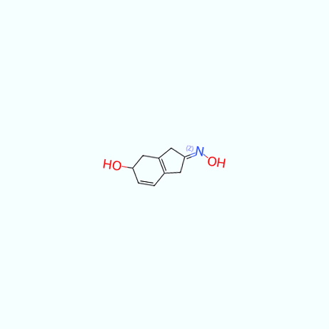 O/N=C1\CC2=C(C1)CC(O)C=C2